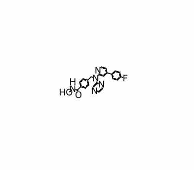 O=C(NO)c1ccc(CN(c2cnccn2)c2cc(-c3ccc(F)cc3)ccn2)cc1